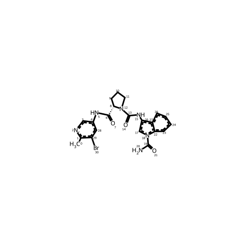 Cc1ncc(NC(=O)[C@@H]2CCCN2C(=O)Nc2cn(C(N)=O)c3ccccc23)cc1Br